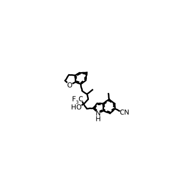 Cc1cc(C#N)cc2[nH]c(CC(O)(CC(C)Cc3cccc4c3OCC4)C(F)(F)F)cc12